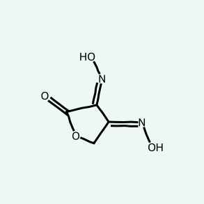 O=C1OCC(=N\O)/C1=N/O